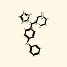 c1ccc(Oc2ccc([C@@H]([C@H]3CCCNC3)n3ncnn3)cc2)cc1